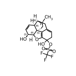 CN1CC[C@]23C4=C5O[C@H]2[C@@H](O)C=C[C@H]3[C@H]1CC4=CCC5(O)OS(=O)(=O)C(F)(F)F